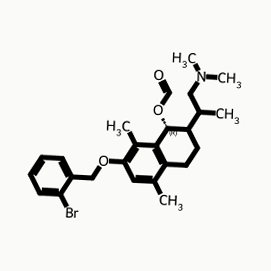 Cc1cc(OCc2ccccc2Br)c(C)c2c1CCC(C(C)CN(C)C)[C@H]2OC=O